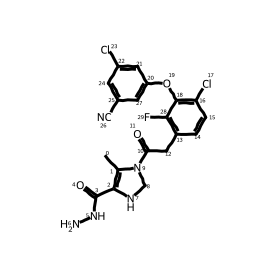 CC1=C(C(=O)NN)NCN1C(=O)Cc1ccc(Cl)c(Oc2cc(Cl)cc(C#N)c2)c1F